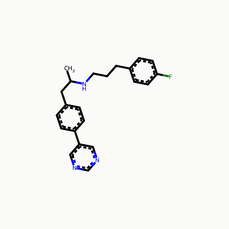 CC(Cc1ccc(-c2cncnc2)cc1)NCCCc1ccc(F)cc1